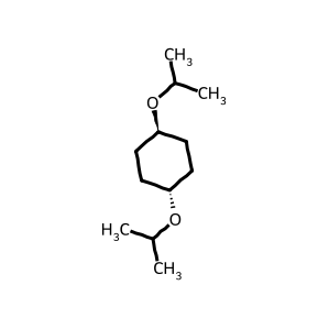 CC(C)O[C@H]1CC[C@H](OC(C)C)CC1